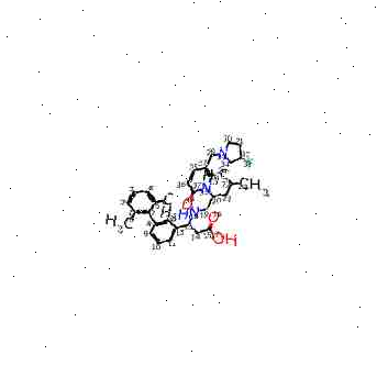 Cc1cccc(C)c1-c1cccc([C@H](CC(=O)O)NCC(CC(C)C)n2cc(CN3CC[C@@H](F)C3)ccc2=O)c1